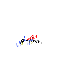 C/C=C/C1=C(OC(=O)O)N2C(=O)C(NC(=O)CNc3ccc4nc(N)sc4c3)[C@@H]2SC1